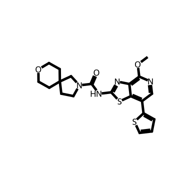 COc1ncc(-c2cccs2)c2sc(NC(=O)N3CCC4(CCOCC4)C3)nc12